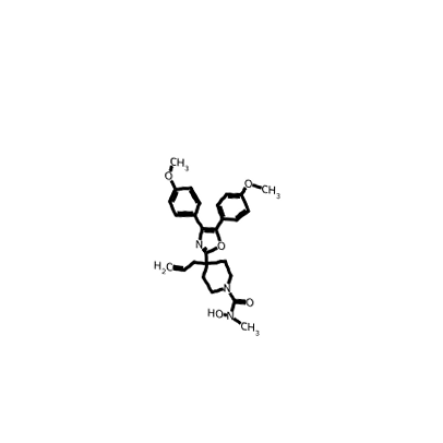 C=CCC1(c2nc(-c3ccc(OC)cc3)c(-c3ccc(OC)cc3)o2)CCN(C(=O)N(C)O)CC1